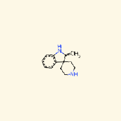 C=C1Nc2ccccc2C12CCNCC2